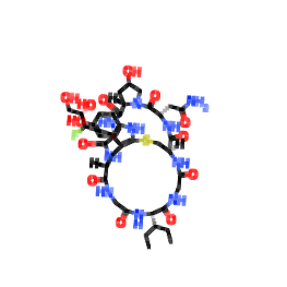 CCC(CC)[C@@H]1NC(=O)CNC(=O)[C@H]2Cc3c([nH]c4ccc(O)cc34)SC[C@H](NC(=O)CNC1=O)C(=O)N[C@@H](CC(N)=O)C(=O)N1C[C@H](O)C[C@H]1C(=O)N[C@@H]([C@@H](F)[C@@H](O)CO)C(=O)N2